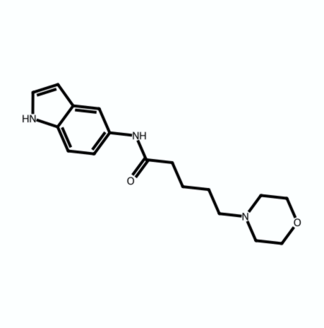 O=C(CCCCN1CCOCC1)Nc1ccc2[nH]ccc2c1